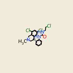 CN1Cc2c(Cl)cc(Cl)cc2[C@H](c2ccccc2NC(=O)NCCCl)C1